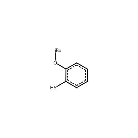 CCC(C)Oc1ccccc1S